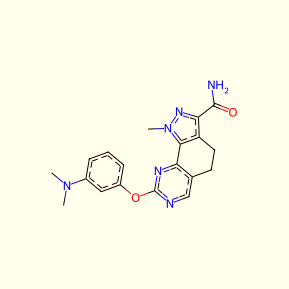 CN(C)c1cccc(Oc2ncc3c(n2)-c2c(c(C(N)=O)nn2C)CC3)c1